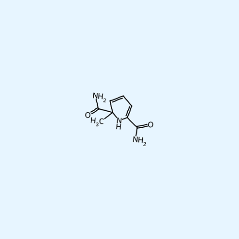 CC1(C(N)=O)C=CC=C(C(N)=O)N1